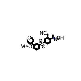 COC1(c2cccc(S(=O)(=O)c3ccc(/C(C)=N/O)c(CC#N)c3)c2)CCOCC1